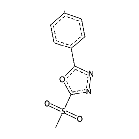 CS(=O)(=O)c1nnc(-c2cc[c]cc2)o1